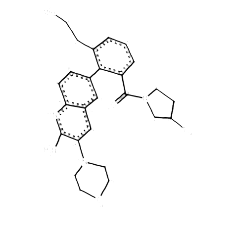 CC(C)(C)CCc1cccc(C(=O)N2CCC(F)C2)c1-c1ccc2nc(N)c(N3CCOCC3)cc2c1